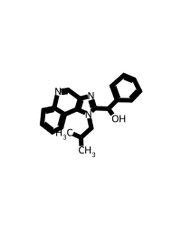 CC(C)Cn1c(C(O)c2ccccc2)nc2cnc3ccccc3c21